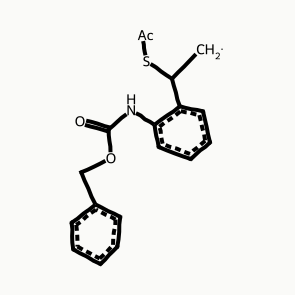 [CH2]C(SC(C)=O)c1ccccc1NC(=O)OCc1ccccc1